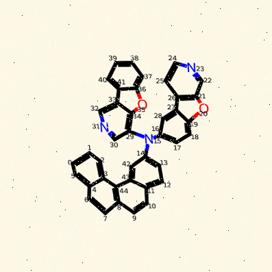 c1ccc2c(c1)ccc1ccc3ccc(N(c4ccc5oc6cnccc6c5c4)c4cncc5c4oc4ccccc45)cc3c12